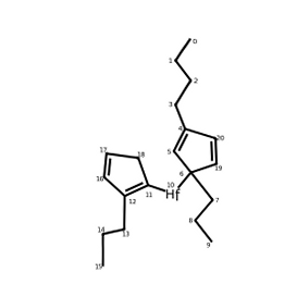 CCCCC1=C[C](CCC)([Hf][C]2=C(CCC)C=CC2)C=C1